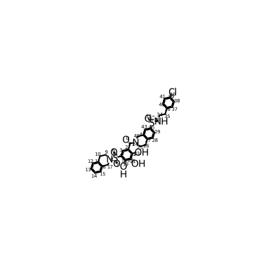 O=C(c1cc(S(=O)(=O)N2CCc3ccccc3C2)c(O)c(O)c1O)N1CCc2ccc([S+]([O-])NCCc3ccc(Cl)cc3)cc2C1